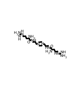 N=C(N)NCCCC(N)C(=O)NCCCN1CCN(CCCNC(=O)C(N)CCCNC(=N)N)CC1